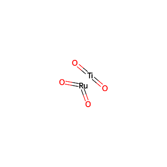 [O]=[Ru]=[O].[O]=[Ti]=[O]